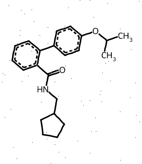 CC(C)Oc1ccc(-c2cc[c]cc2C(=O)NCC2CCCC2)cc1